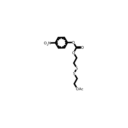 CC(=O)OCCSSCCOC(=O)Oc1ccc([N+](=O)[O-])cc1